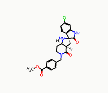 COC(=O)c1ccc(CN2CC[C@H]3N[C@]4(C[C@H]3C2=O)C(=O)Nc2cc(Cl)ccc24)cc1